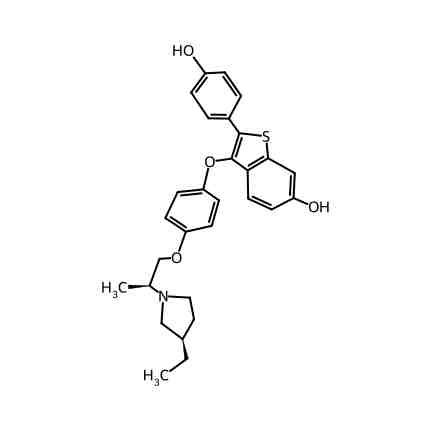 CC[C@@H]1CCN([C@@H](C)COc2ccc(Oc3c(-c4ccc(O)cc4)sc4cc(O)ccc34)cc2)C1